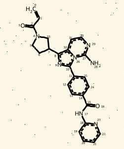 C=CC(=O)N1CCC(c2nc(-c3ccc(C(=O)Nc4ccccn4)cc3)n3c(N)nccc23)C1